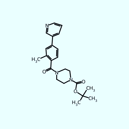 Cc1cc(-c2cccnc2)ccc1C(=O)N1CCN(C(=O)OC(C)(C)C)CC1